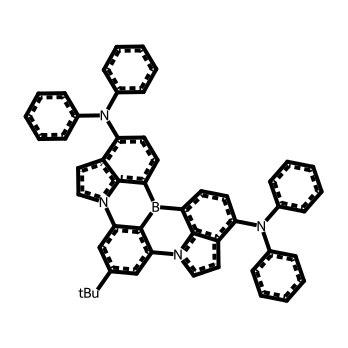 CC(C)(C)c1cc2c3c(c1)-n1ccc4c(N(c5ccccc5)c5ccccc5)ccc(c41)B3c1ccc(N(c3ccccc3)c3ccccc3)c3ccn-2c13